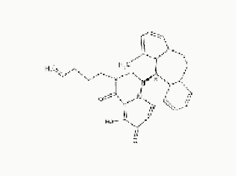 C=CCCCN1CN([C@@H]2C3C=CC=CC3CCC3C=CC=C(C)C32)n2ccc(=O)c(O)c2C1=O